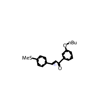 CCCCOc1cccc(C(=O)/C=C/c2ccc(SC)cc2)c1